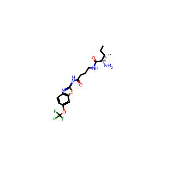 CC[C@H](C)[C@H](N)C(=O)NCCCC(=O)Nc1nc2ccc(OC(F)(F)F)cc2s1